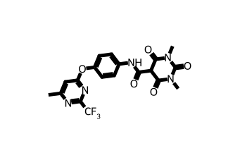 Cc1cc(Oc2ccc(NC(=O)C3C(=O)N(C)C(=O)N(C)C3=O)cc2)nc(C(F)(F)F)n1